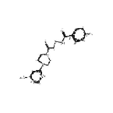 CC(C)COc1cc(N2CCN(C(=O)CCNC(=O)c3ccc(F)cc3)CC2)ncn1